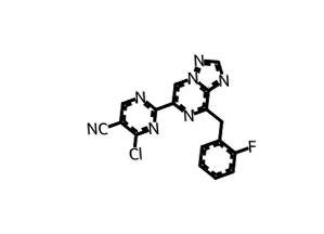 N#Cc1cnc(-c2cn3ncnc3c(Cc3ccccc3F)n2)nc1Cl